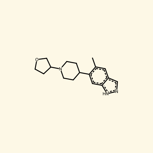 Cc1cc2cn[nH]c2cc1C1CCN(C2CCOC2)CC1